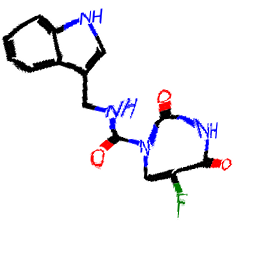 O=C(NCc1c[nH]c2ccccc12)n1cc(F)c(=O)[nH]c1=O